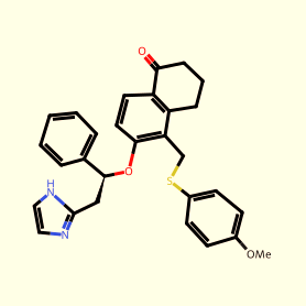 COc1ccc(SCc2c(O[C@@H](Cc3ncc[nH]3)c3ccccc3)ccc3c2CCCC3=O)cc1